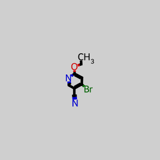 CCOc1cc(Br)c(C#N)cn1